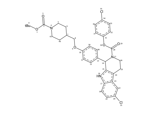 CC(C)(C)OC(=O)N1CCC(COc2ccc(C3c4[nH]c5ccc(Cl)cc5c4CCN3C(=O)Oc3ccc(Cl)cc3)cc2)CC1